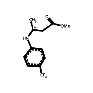 COC(=O)C[C@H](C)Nc1ccc(C(F)(F)F)cc1